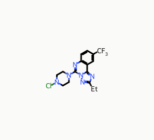 CCc1nc2c3cc(C(F)(F)F)ccc3nc(N3CCN(Cl)CC3)n2n1